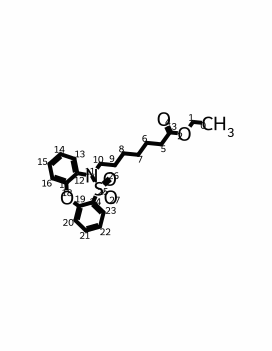 CCOC(=O)CCCCCCN1c2ccccc2Oc2ccccc2S1(=O)=O